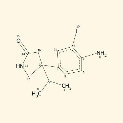 CC(C)C1(c2ccc(N)c(I)c2)CNC(=O)C1